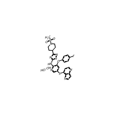 CS(=O)(=O)N1CCC(c2nsc(Nc3ncc(Sc4ccnc5ccsc45)cc3Oc3ccc(F)cc3)n2)CC1.Cl.Cl